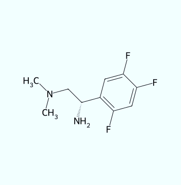 CN(C)C[C@@H](N)c1cc(F)c(F)cc1F